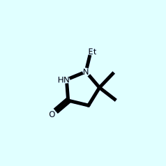 CCN1NC(=O)CC1(C)C